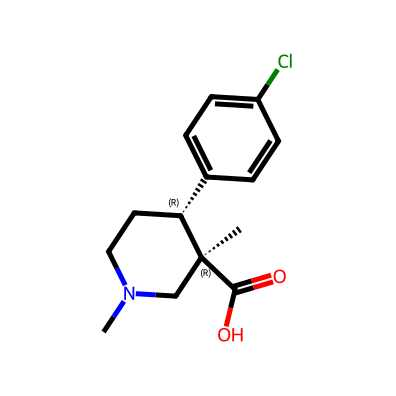 CN1CC[C@H](c2ccc(Cl)cc2)[C@@](C)(C(=O)O)C1